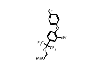 CCCc1cc(C(OCOC)(C(F)(F)F)C(F)(F)F)ccc1Oc1ccc(C(C)=O)nc1